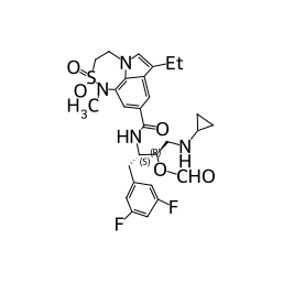 CCc1cn2c3c(cc(C(=O)N[C@@H](Cc4cc(F)cc(F)c4)[C@@H](CNC4CC4)OC=O)cc13)N(C)S(=O)(=O)CC2